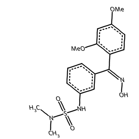 COc1ccc(C(=NO)c2cccc(NS(=O)(=O)N(C)C)c2)c(OC)c1